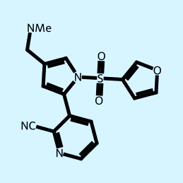 CNCc1cc(-c2cccnc2C#N)n(S(=O)(=O)c2ccoc2)c1